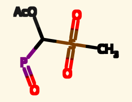 CC(=O)OC(P=O)S(C)(=O)=O